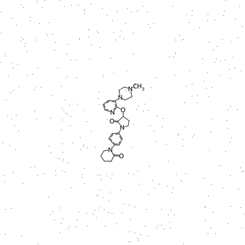 CN1CCN(c2cccnc2OC2CCN(c3ccc(N4CCCCC4=O)cc3)C2=O)CC1